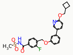 CS(=O)(=O)NC(=O)c1ccc(COc2cccc(-c3ccc(OCC4CCC4)nc3)c2)c(F)c1